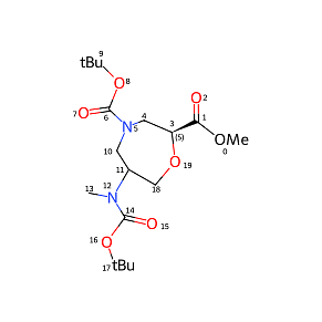 COC(=O)[C@@H]1CN(C(=O)OC(C)(C)C)CC(N(C)C(=O)OC(C)(C)C)CO1